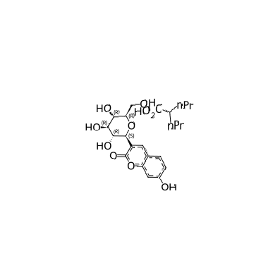 CCCC(CCC)C(=O)O.O=c1oc2cc(O)ccc2cc1[C@@H]1O[C@H](CO)[C@H](O)[C@H](O)[C@H]1O